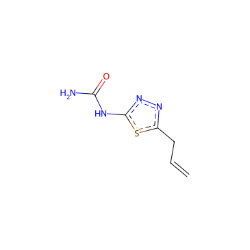 C=CCc1nnc(NC(N)=O)s1